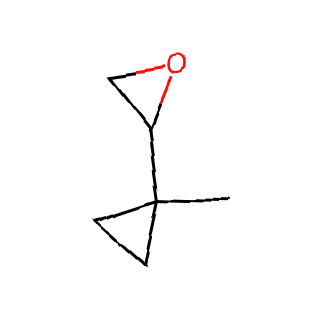 CC1(C2CO2)CC1